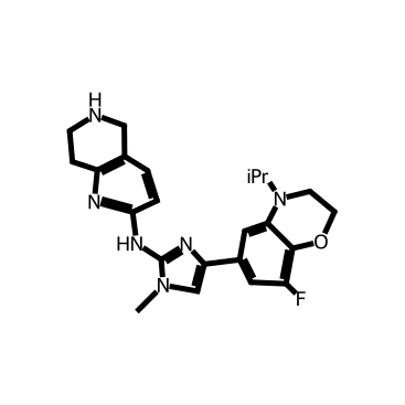 CC(C)N1CCOc2c(F)cc(-c3cn(C)c(Nc4ccc5c(n4)CCNC5)n3)cc21